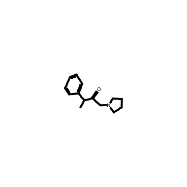 CC(C(=O)CN1CCCC1)c1ccccc1